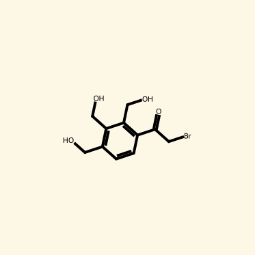 O=C(CBr)c1ccc(CO)c(CO)c1CO